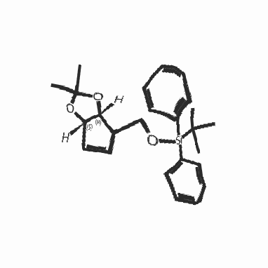 CC1(C)O[C@H]2C=CC(CO[Si](c3ccccc3)(c3ccccc3)C(C)(C)C)[C@H]2O1